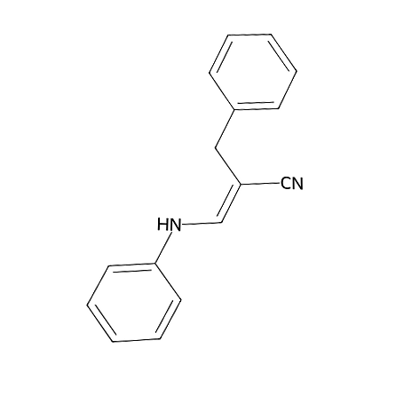 N#CC(=CNc1ccccc1)Cc1ccccc1